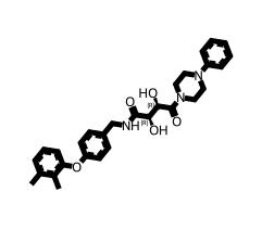 Cc1cccc(Oc2ccc(CNC(=O)[C@H](O)[C@@H](O)C(=O)N3CCN(c4ccccc4)CC3)cc2)c1C